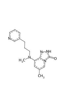 Cc1cc(N(C)CCCc2cccnc2)c2n[nH]c(=O)n2c1